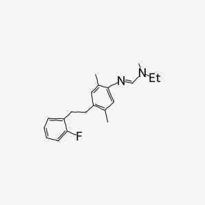 CCN(C)C=Nc1cc(C)c(CCc2ccccc2F)cc1C